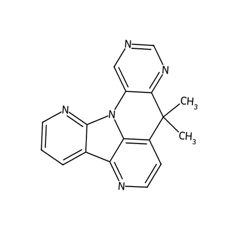 CC1(C)c2ncncc2-n2c3ncccc3c3nccc1c32